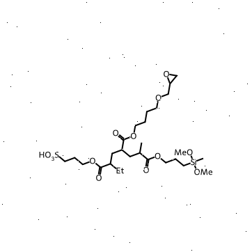 CCC(CC(CC(C)C(=O)OCCC[Si](C)(OC)OC)C(=O)OCCCCOCC1CO1)C(=O)OCCCS(=O)(=O)O